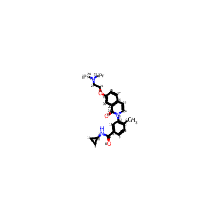 Cc1ccc(C(=O)NC2CC2)cc1-n1ccc2ccc(OCCN(C(C)C)C(C)C)cc2c1=O